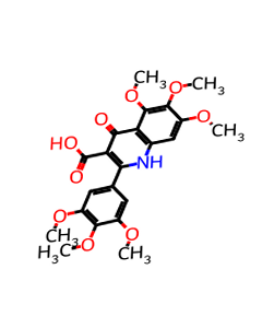 COc1cc(-c2[nH]c3cc(OC)c(OC)c(OC)c3c(=O)c2C(=O)O)cc(OC)c1OC